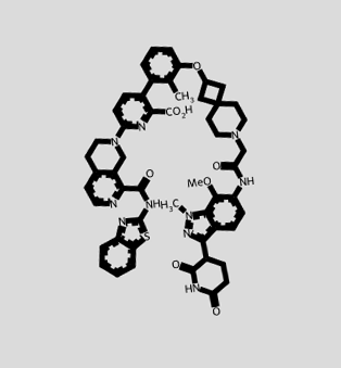 COc1c(NC(=O)CN2CCC3(CC2)CC(Oc2cccc(-c4ccc(N5CCc6ccnc(C(=O)Nc7nc8ccccc8s7)c6C5)nc4C(=O)O)c2C)C3)ccc2c(C3CCC(=O)NC3=O)nn(C)c12